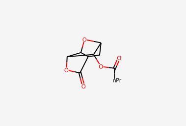 CCCC(=O)OC1C2CC3C(=O)OC1C3O2